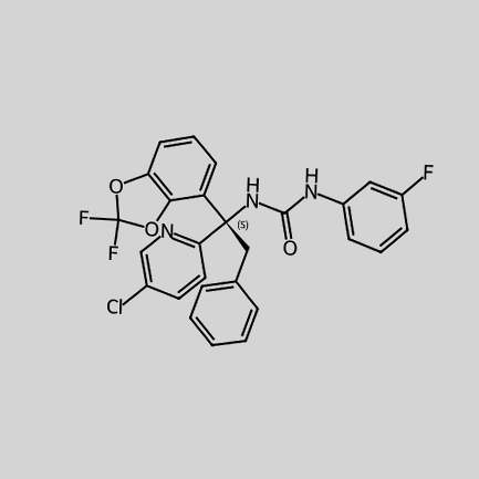 O=C(Nc1cccc(F)c1)N[C@](Cc1ccccc1)(c1ccc(Cl)cn1)c1cccc2c1OC(F)(F)O2